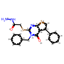 NNC(=O)CSc1nc2scc(-c3ccccc3)c2c(=O)n1Cc1ccccc1